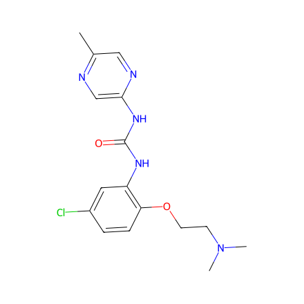 Cc1cnc(NC(=O)Nc2cc(Cl)ccc2OCCN(C)C)cn1